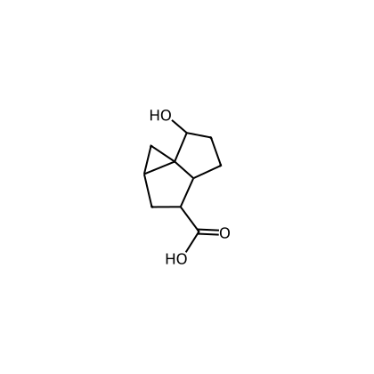 O=C(O)C1CC2CC23C(O)CCC13